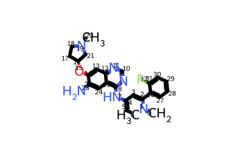 C=N/C(=C\C(=C/C)Nc1ncnc2cc(O[C@@H]3CCN(C)C3)c(N)cc12)c1ccccc1F